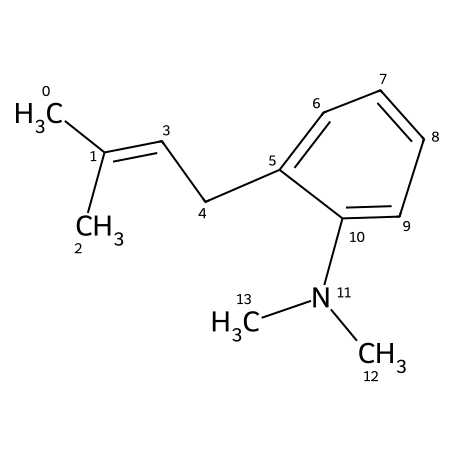 CC(C)=CCc1ccccc1N(C)C